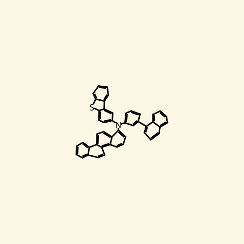 c1cc(-c2cccc3ccccc23)cc(N(c2ccc3sc4ccccc4c3c2)c2cccc3c2ccc2c4ccccc4ccc32)c1